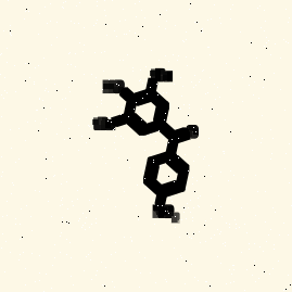 CC(C)(C)c1cc(C(=O)c2ccc([N+](=O)[O-])cc2)cc(C(C)(C)C)c1O